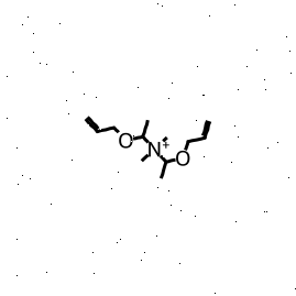 C=CCOC(C)[N+](C)(C)C(C)OCC=C